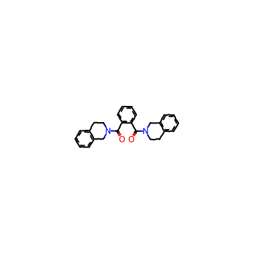 O=C(c1ccccc1C(=O)N1CCc2ccccc2C1)N1CCc2ccccc2C1